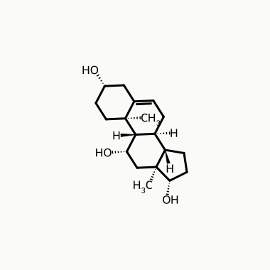 C[C@]12C[C@H](O)[C@H]3[C@@H](CC=C4C[C@@H](O)CC[C@@]43C)[C@@H]1CC[C@@H]2O